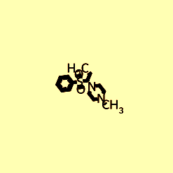 C=CC(N1CCN(C)CC1)S(=O)(=O)c1ccccc1